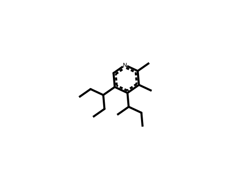 CCC(C)c1c(C(CC)CC)cnc(C)c1C